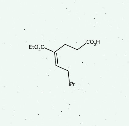 CCOC(=O)C(=CCC(C)C)CCC(=O)O